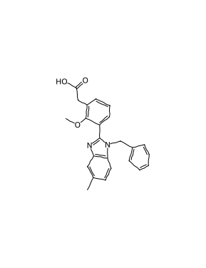 COc1c(CC(=O)O)cccc1-c1nc2cc(C)ccc2n1Cc1ccccc1